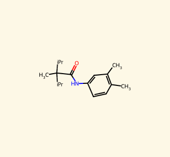 Cc1ccc(NC(=O)C(C)(C(C)C)C(C)C)cc1C